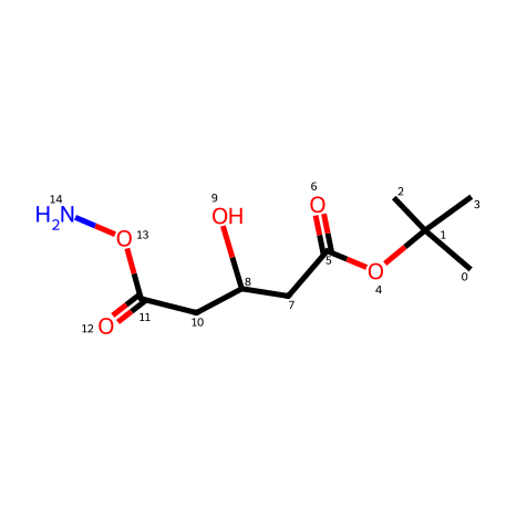 CC(C)(C)OC(=O)CC(O)CC(=O)ON